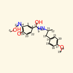 CO/C=N\c1cc(C(O)CNC(C)Cc2ccc(OC)cc2)ccc1O